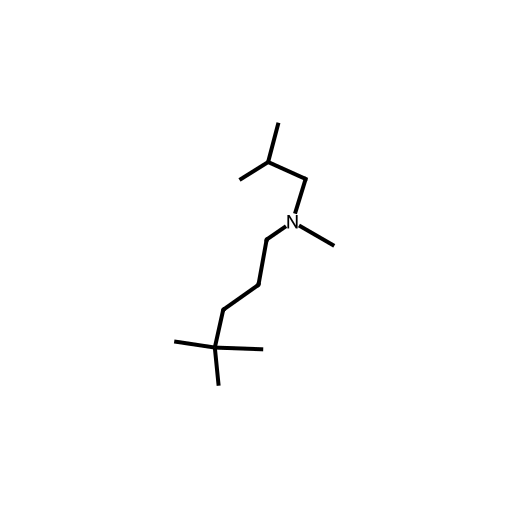 CC(C)CN(C)CCCC(C)(C)C